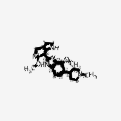 COc1ncc2cc[nH]c2c1-c1nc2c(OC)c(C3CCN(C)CC3)ccc2[nH]1